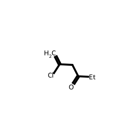 C=C(Cl)CC(=O)CC